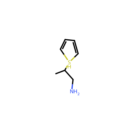 CC(CN)[SH]1C=CC=C1